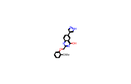 COc1ccccc1OCc1nc(O)c2cc(-c3cn[nH]c3)ccc2n1